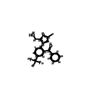 Cc1cn(-c2ccc(C(F)(F)F)cc2C(=O)c2ccccc2)c(CO)n1